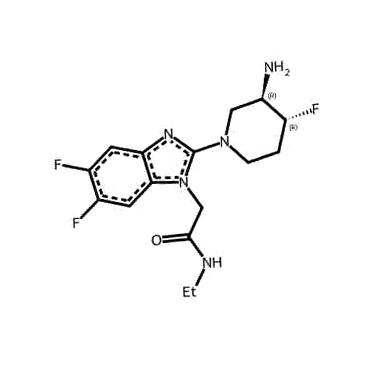 CCNC(=O)Cn1c(N2CC[C@@H](F)[C@H](N)C2)nc2cc(F)c(F)cc21